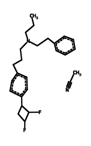 CC#N.CCCN(CCCc1ccc(C2CC(F)C2F)cc1)CCc1ccccc1